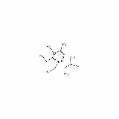 Cc1ncc(CO)c(CO)c1O.O=C(O)CC(O)C(=O)O